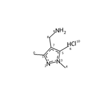 Cc1nn(C)c(C)c1CN.Cl